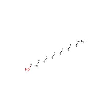 CCCCCCCCCCCCCCCCC[CH]CO